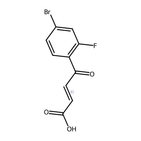 O=C(O)/C=C/C(=O)c1ccc(Br)cc1F